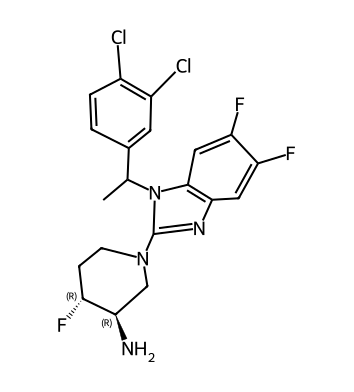 CC(c1ccc(Cl)c(Cl)c1)n1c(N2CC[C@@H](F)[C@H](N)C2)nc2cc(F)c(F)cc21